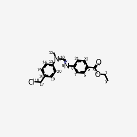 CCOC(=O)c1ccc(/N=C/N(C)c2ccc(CCl)cc2)cc1